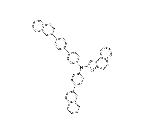 c1ccc2cc(-c3ccc(-c4ccc(N(c5ccc(-c6ccc7ccccc7c6)cc5)c5cc6c(ccc7ccccc76)o5)cc4)cc3)ccc2c1